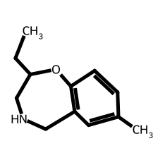 CCC1CNCc2cc(C)ccc2O1